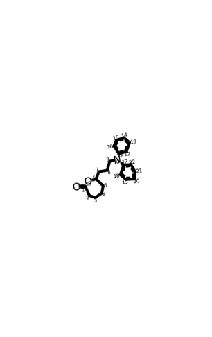 O=C1CCCCC(CCCN(c2ccccc2)c2ccccc2)O1